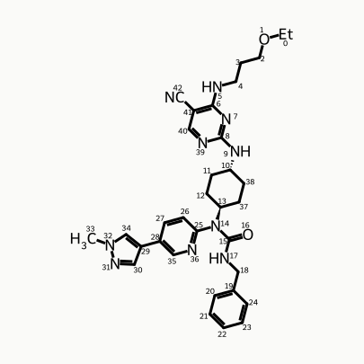 CCOCCCNc1nc(N[C@H]2CC[C@H](N(C(=O)NCc3ccccc3)c3ccc(-c4cnn(C)c4)cn3)CC2)ncc1C#N